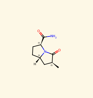 C[C@H]1C[C@@H]2CC[C@@H](C(N)=O)N2C1=O